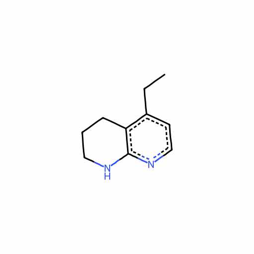 CCc1ccnc2c1CCCN2